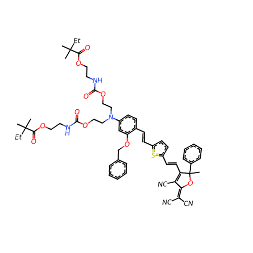 CCC(C)(C)C(=O)OCCNC(=O)OCCN(CCOC(=O)NCCOC(=O)C(C)(C)CC)c1ccc(/C=C/c2ccc(/C=C/C3=C(C#N)C(=C(C#N)C#N)OC3(C)c3ccccc3)s2)c(OCc2ccccc2)c1